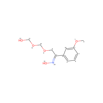 COc1cccc(/C(COCOCO)=N/O)c1